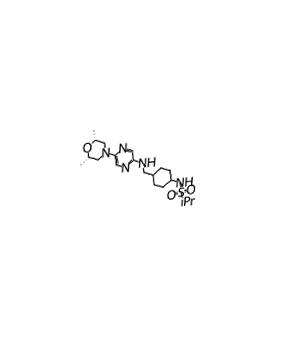 CC(C)S(=O)(=O)NC1CCC(CNc2cnc(N3C[C@@H](C)O[C@@H](C)C3)cn2)CC1